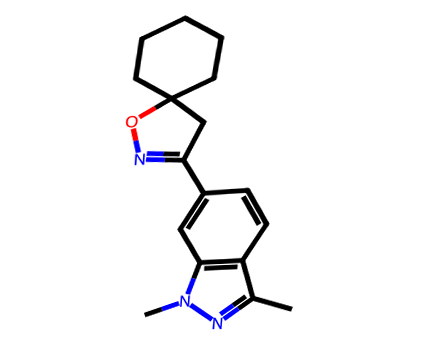 Cc1nn(C)c2cc(C3=NOC4(CCCCC4)C3)ccc12